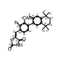 COc1c(-c2cc3c(cc2C)C(C)(C)CCC3(C)C)ccc(C=C2SC(=O)NC2=O)c1F